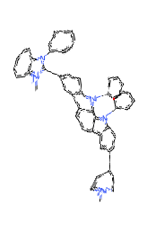 C[n+]1ccc(-c2ccc3c(c2)c2ccc4c5cc(-c6n(-c7ccccc7)c7ccccc7[n+]6C)ccc5n(-c5ccccc5)c4c2n3-c2ccccc2)cc1